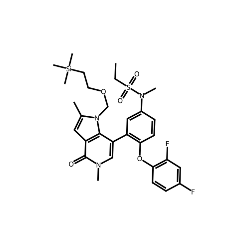 CCS(=O)(=O)N(C)c1ccc(Oc2ccc(F)cc2F)c(-c2cn(C)c(=O)c3cc(C)n(COCC[Si](C)(C)C)c23)c1